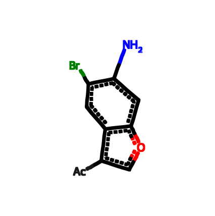 CC(=O)c1coc2cc(N)c(Br)cc12